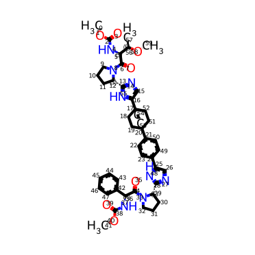 COC(=O)N[C@H](C(=O)N1CCC[C@H]1c1ncc(C23CCC(c4ccc(-c5cnc([C@@H]6CCCN6C(=O)[C@H](NC(=O)OC)c6ccccc6)[nH]5)cc4)(CC2)CC3)[nH]1)[C@@H](C)OC